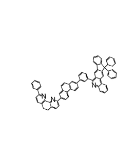 C1=CCC(C2(c3ccccc3)c3ccccc3-c3cc4c(-c5cccc(-c6ccc7c(ccc8cc(-c9ccc%10c(n9)-c9nc(-c%11ccccc%11)ccc9CC%10)ccc87)c6)c5)nc5ccccc5c4cc32)C=C1